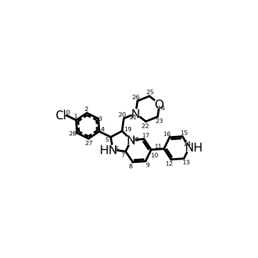 Clc1ccc(C2NC3C=CC(C4=CCNC=C4)=CN3C2CN2CCOCC2)cc1